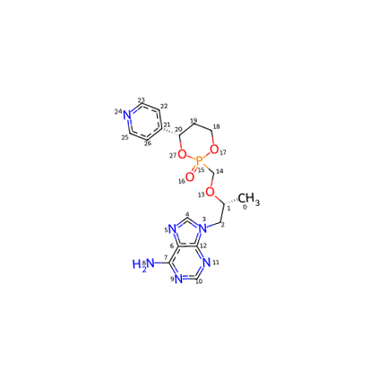 C[C@H](Cn1cnc2c(N)ncnc21)OCP1(=O)OCC[C@@H](c2ccncc2)O1